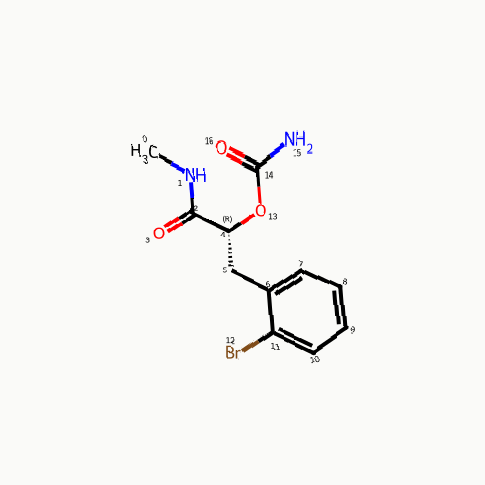 CNC(=O)[C@@H](Cc1ccccc1Br)OC(N)=O